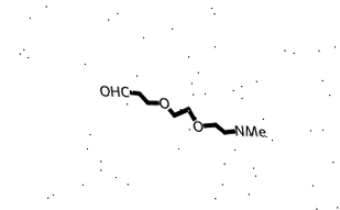 CNCCOCCOCCC=O